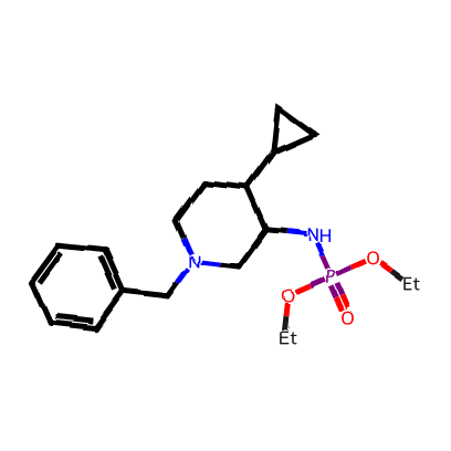 CCOP(=O)(NC1CN(Cc2ccccc2)CCC1C1CC1)OCC